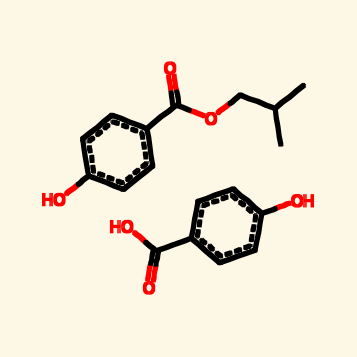 CC(C)COC(=O)c1ccc(O)cc1.O=C(O)c1ccc(O)cc1